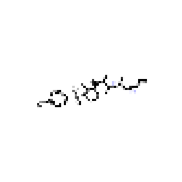 C=C/C=C\C(C)=C(/C)C(=C)Nc1cccc(S(=O)(=O)c2ccc(Br)cc2)c1C